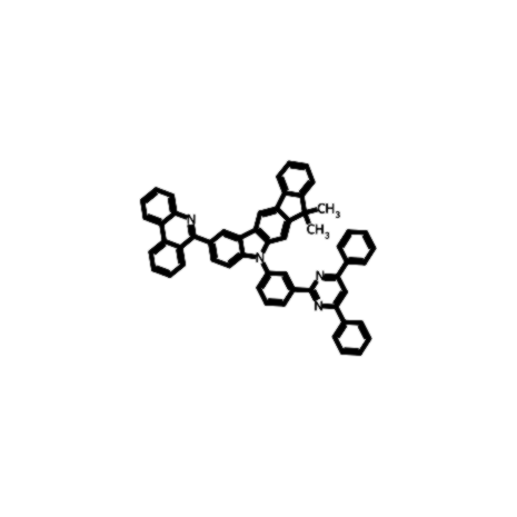 CC1(C)c2ccccc2-c2cc3c4cc(-c5nc6ccccc6c6ccccc56)ccc4n(-c4cccc(-c5nc(-c6ccccc6)cc(-c6ccccc6)n5)c4)c3cc21